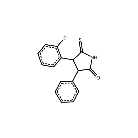 O=C1NC(=S)C(c2ccccc2Cl)C1c1ccccc1